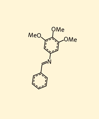 COc1cc(/N=C/c2ccccc2)cc(OC)c1OC